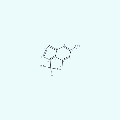 Cc1cc(O)cc2cccc(C(F)(F)F)c12